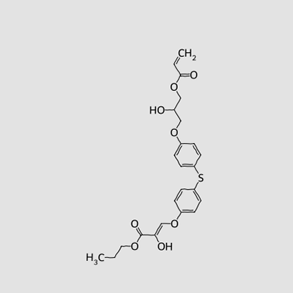 C=CC(=O)OCC(O)COc1ccc(Sc2ccc(OC=C(O)C(=O)OCCC)cc2)cc1